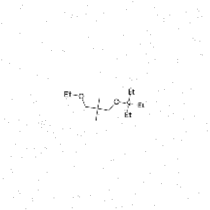 CCOCC(C)(C)CO[Si](CC)(CC)CC